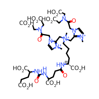 C[n+]1ccn(CC(=O)N(CC(=O)O)CC(=O)O)c1C[N+](C)(CCCC[C@@H](NC(=O)CCC(NC(=O)NC(CCC(=O)O)C(=O)O)C(=O)O)C(=O)O)Cc1n(CC(=O)N(CC(=O)O)CC(=O)O)cc[n+]1C